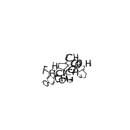 C[C@@H]1C[C@H]2[C@@H]3C[C@H](F)C4=CC(=O)C=C[C@]4(C)[C@@]3(Cl)[C@@H](O)C[C@]2(C)[C@@]1(OC(=O)C1CCCCC1)C(=O)O